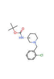 CC(C)(C)OC(=O)N[C@@H]1CCCN(Cc2ccccc2Cl)C1